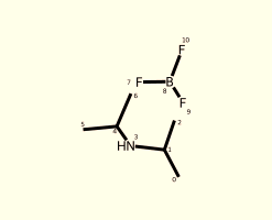 CC(C)NC(C)C.FB(F)F